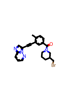 Cc1ccc(C(=O)N2CCCC(CBr)C2)cc1C#Cc1cnc2cccnn12